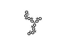 CC1(C)c2ccccc2-c2ccc(N(c3ccc4c(c3)C(C)(C)c3cc5c(cc3-4)C(C)(C)c3ccc4c(oc6ccccc64)c3-5)c3ccc4c(c3)C(C)(C)c3cc5c(cc3-4)C(C)(C)c3ccc4c(oc6ccccc64)c3-5)cc21